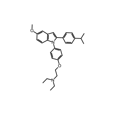 CCN(CC)CCOc1ccc(-n2c(-c3ccc(C(C)C)cc3)cc3cc(OC)ccc32)cc1